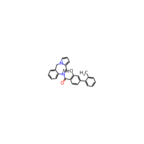 COc1cc(-c2ccccc2C)ccc1C(=O)N1Cc2cccn2Cc2ccccc21